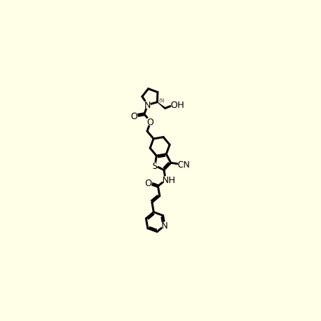 N#Cc1c(NC(=O)C=Cc2cccnc2)sc2c1CCC(COC(=O)N1CCC[C@H]1CO)C2